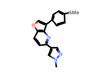 CSc1ccc(-c2coc3ccc(-c4cnn(C)c4)nc23)cc1